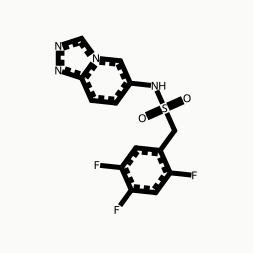 O=S(=O)(Cc1cc(F)c(F)cc1F)Nc1ccc2nncn2c1